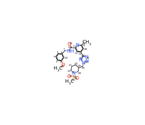 COc1cccc(CNC(=O)c2cc(-c3nnn(CC4CCCN(S(C)(=O)=O)C4)n3)cc(C)n2)c1